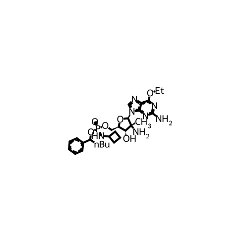 CCCCC(OP(=O)(NC1CCC1)OC[C@H]1O[C@@H](n2cnc3c(OCC)nc(N)nc32)[C@](C)(N)[C@@H]1O)c1ccccc1